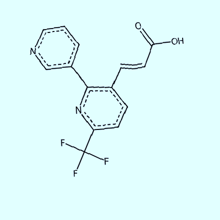 O=C(O)C=Cc1ccc(C(F)(F)F)nc1-c1cccnc1